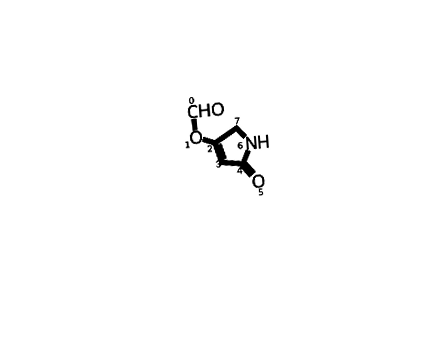 O=COC1=CC(=O)NC1